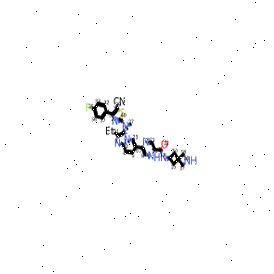 CCc1nc2ccc(-c3cnc(C(=O)NC4CC5(CNC5)C4)cn3)cn2c1N(C)c1nc(-c2ccc(F)cc2)c(C#N)s1